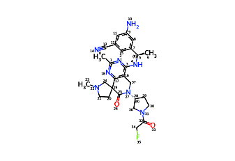 Cc1nc(N[C@H](C)c2cc(N)cc(C#N)c2)c2c(n1)C1(CCN(C)C1)C(=O)N([C@@H]1CCN(C(=O)CF)C1)C2